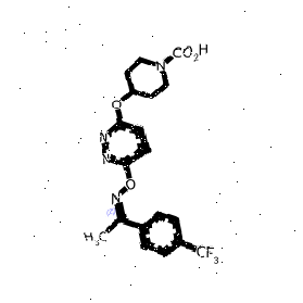 C/C(=N/Oc1ccc(OC2CCN(C(=O)O)CC2)nn1)c1ccc(C(F)(F)F)cc1